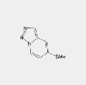 CSc1ccn2nncc2c1